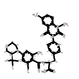 Cc1ccc2c(c1)c(=O)n(-c1ccc(C[C@H](NC(=O)c3c(C)cc(N4CCOC[C@@H]4C(F)(F)F)cc3F)C(=O)O)cn1)c(=O)n2C